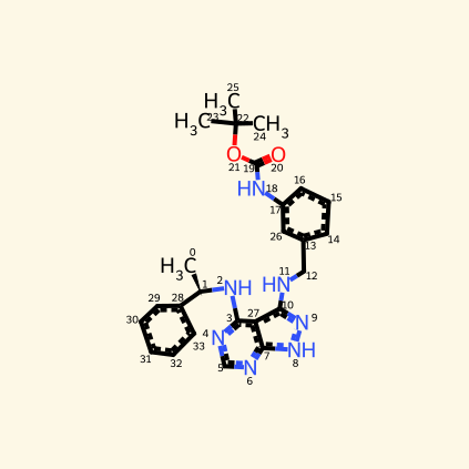 C[C@@H](Nc1ncnc2[nH]nc(NCc3cccc(NC(=O)OC(C)(C)C)c3)c12)c1ccccc1